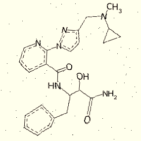 CN(Cc1ccn(-c2ncccc2C(=O)NC(Cc2ccccc2)C(O)C(N)=O)n1)C1CC1